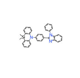 C[Si]1(C)c2ccccc2N(c2ccc(-c3nc4ccccc4n3-c3ccccc3)cc2)c2ccccc21